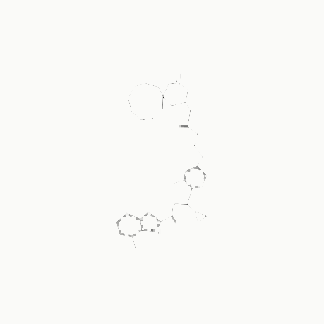 Cc1cc(CCNC(=O)CC2CNCC3(CCCCCCCC3)C2)cnc1C(NC(=O)c1cc2cccc(C)c2[nH]1)C1CC1